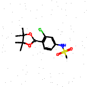 CC1(C)OB(c2ccc(NS(C)(=O)=O)cc2Cl)OC1(C)C